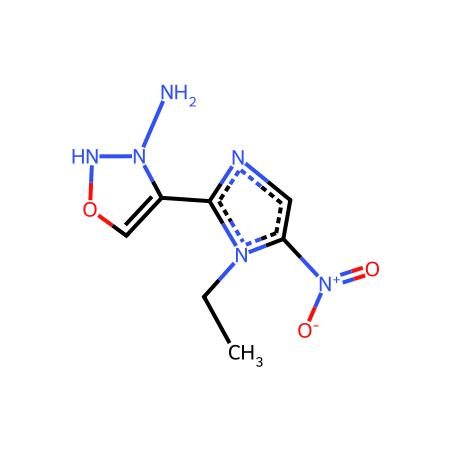 CCn1c([N+](=O)[O-])cnc1C1=CONN1N